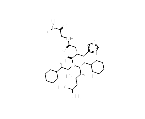 CC(C)C[C@H](O)[C@H](O)[C@H](CC1CCCCC1)N(C[C@H](O)C1CCCCC1)C(=O)[C@@H](CC(=O)NCC(=O)N(C)C)Cc1cscn1